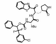 CCCC[C@H](NC(=O)OC(c1ccccc1)C(F)(F)c1cccc(Cl)c1)C(=O)N[C@@H](C[C@@H]1CCNC1=O)C(=O)c1nc2ccccc2s1